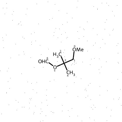 COCC(C)(C)OC=O